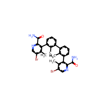 Cc1c(-c2cccc(-c3c(C(N)=O)ncc(Br)c3C)c2C)cccc1-c1c(C(N)=O)ncc(Br)c1C